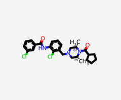 C[C@@H]1CN(Cc2cccc(NC(=O)c3cccc(Cl)c3)c2Cl)C[C@H](C)N1C(=O)C1CCCC1